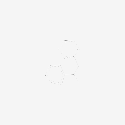 CC(Cc1cccnc1)c1ccccc1